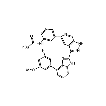 CCCCC(=O)Nc1cncc(-c2cc3c(-c4nc5c(-c6cc(F)cc(OC)c6)cccc5[nH]4)n[nH]c3cn2)c1